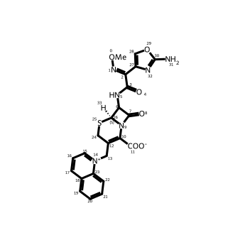 CON=C(C(=O)NC1C(=O)N2C(C(=O)[O-])=C(C[n+]3cccc4ccccc43)CS[C@@H]12)c1coc(N)n1